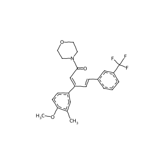 COc1ccc(C(C=Cc2cccc(C(F)(F)F)c2)=CC(=O)N2CCOCC2)cc1C